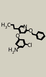 CCCc1cnc(OCc2ccccc2)cc1Oc1cc(N)cc(Cl)c1